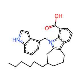 CCCCCCC1CCCc2c(n(Cc3cccc4[nH]ccc34)c3c(C(=O)O)cccc23)C1